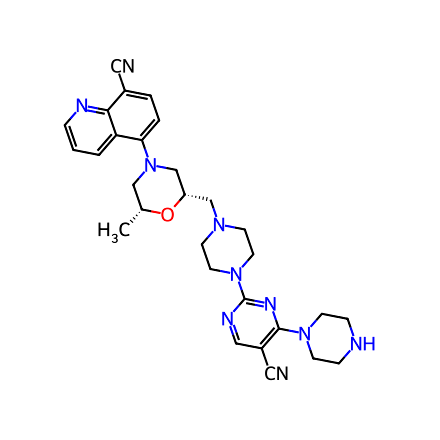 C[C@@H]1CN(c2ccc(C#N)c3ncccc23)C[C@H](CN2CCN(c3ncc(C#N)c(N4CCNCC4)n3)CC2)O1